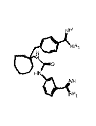 N=C(N)c1ccc(CC2(NC(=O)Nc3cccc(C(=N)N)c3)CCCCCC2)cc1